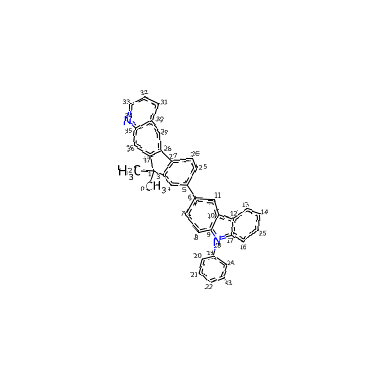 CC1(C)c2cc(-c3ccc4c(c3)c3ccccc3n4-c3ccccc3)ccc2-c2cc3cccnc3cc21